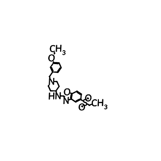 CCOc1cccc(CN2CCC(Nc3nc4cc(S(=O)(=O)CC)ccc4o3)CC2)c1